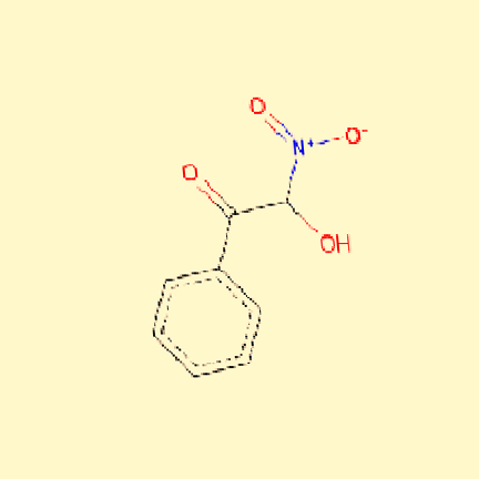 O=C(c1ccccc1)C(O)[N+](=O)[O-]